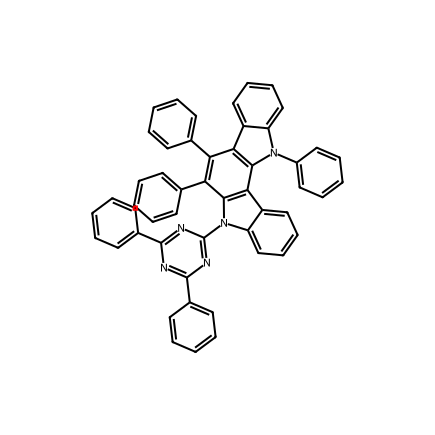 c1ccc(-c2nc(-c3ccccc3)nc(-n3c4ccccc4c4c3c(-c3ccccc3)c(-c3ccccc3)c3c5ccccc5n(-c5ccccc5)c34)n2)cc1